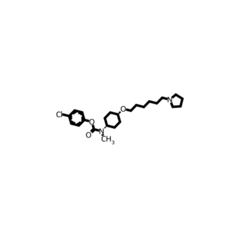 CN(C(=O)Oc1ccc(Cl)cc1)[C@H]1CC[C@H](OCCCCCCN2CCCC2)CC1